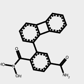 NC(=O)c1ccc(C(=O)N(O)O)c(-c2cccc3c2-c2ccccc2-3)c1